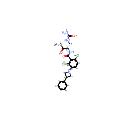 COC(=O)[C@H](CNC(N)=O)NC(=O)c1c(Cl)ccc(N2CC(c3ccccc3)C2)c1Cl